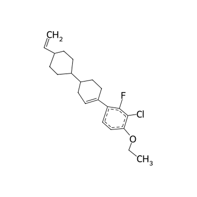 C=CC1CCC(C2CC=C(c3ccc(OCC)c(Cl)c3F)CC2)CC1